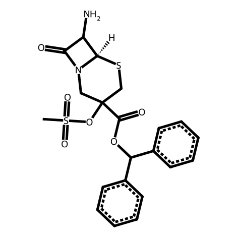 CS(=O)(=O)OC1(C(=O)OC(c2ccccc2)c2ccccc2)CS[C@@H]2C(N)C(=O)N2C1